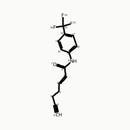 C#CCCC=CC(=O)Nc1ccc(C(F)(F)F)cc1